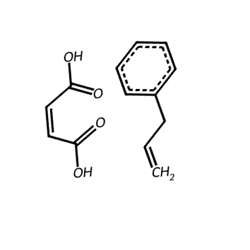 C=CCc1ccccc1.O=C(O)/C=C\C(=O)O